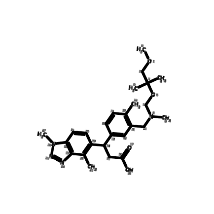 COCC(C)(C)OCN(C)Cc1cc(C(CC(=O)O)c2ccc3c(nnn3C)c2C)ccc1C